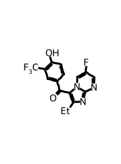 CCc1nc2ncc(F)cn2c1C(=O)c1ccc(O)c(C(F)(F)F)c1